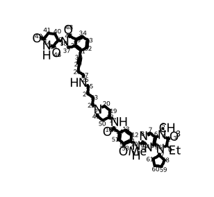 CC[C@@H]1C(=O)N(C)c2cnc(Nc3ccc(C(=O)NC4CCN(CCCCNCCC#Cc5cccc6c5CN(C5CCC(=O)NC5=O)C6=O)CC4)cc3OC)nc2N1C1CCCC1